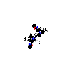 C=C/C(=C\C=C(/C)c1cccc(N2c3ccccc3C(C)(C)c3cc(-c4nc5ccccc5o4)ccc32)c1)N1c2ccccc2C(C)(C)c2cc(-c3nc4ccccc4o3)ccc21